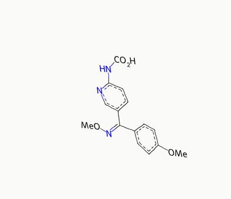 CON=C(c1ccc(OC)cc1)c1ccc(NC(=O)O)nc1